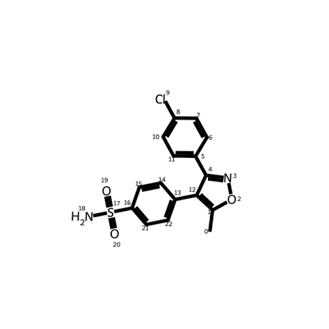 Cc1onc(-c2ccc(Cl)cc2)c1-c1ccc(S(N)(=O)=O)cc1